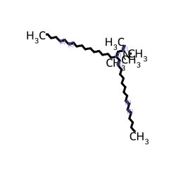 C\C=C(/C=C(\C=C\CCCCCCC/C=C/C=C/CCCCC)C(C)CCCCCCCC/C=C/C=C/CCCC)N(C)C